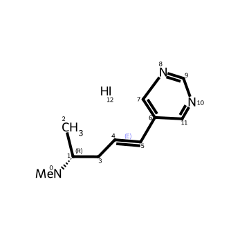 CN[C@H](C)C/C=C/c1cncnc1.I